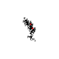 C=C(F)OCC(F)(OC(F)(F)C(F)(OC(F)(F)C(F)(F)C(F)(F)F)C(F)(F)F)C(F)(F)F